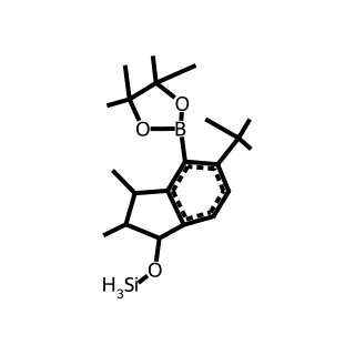 CC1c2c(ccc(C(C)(C)C)c2B2OC(C)(C)C(C)(C)O2)C(O[SiH3])C1C